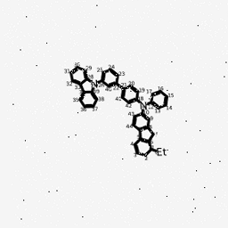 CCC1CC=CC2=C1Cc1cc(N(c3ccccc3)c3ccc(-c4cccc(-n5c6ccccc6c6ccccc65)c4)cc3)ccc12